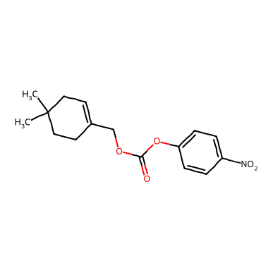 CC1(C)CC=C(COC(=O)Oc2ccc([N+](=O)[O-])cc2)CC1